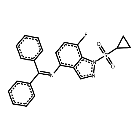 O=S(=O)(C1CC1)n1ncc2c(N=C(c3ccccc3)c3ccccc3)ccc(F)c21